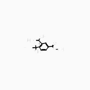 COC(=O)c1ccc(C(C)(C)C)c(C(C)C)c1